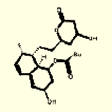 CC[C@H](C)C(=O)O[C@H]1C[C@@H](O)C=C2C=C[C@H](C)[C@H](CC[C@@H]3CC(O)CC(=O)O3)[C@H]21